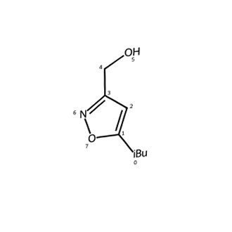 CCC(C)c1cc(CO)no1